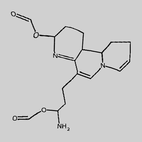 NC(CCC1=CN2C=CCCC2C2CCC(OC=O)N=C12)OC=O